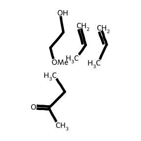 C=CC.C=CC.CCC(C)=O.COCCO